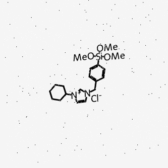 CO[Si](OC)(OC)c1ccc(Cn2cc[n+](C3CCCCC3)c2)cc1.[Cl-]